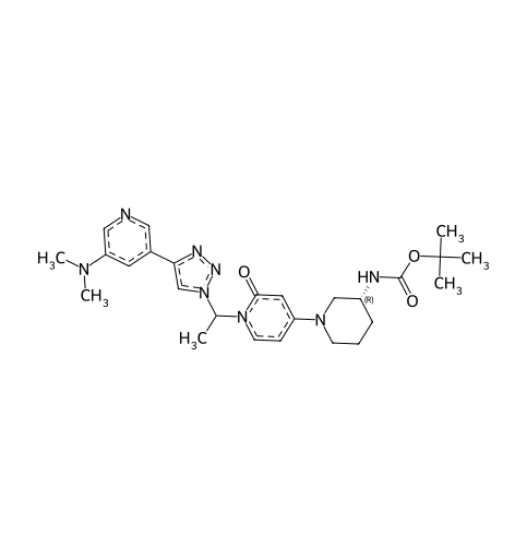 CC(n1cc(-c2cncc(N(C)C)c2)nn1)n1ccc(N2CCC[C@@H](NC(=O)OC(C)(C)C)C2)cc1=O